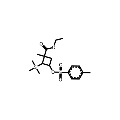 CCOC(=O)C1(C)CC(OS(=O)(=O)c2ccc(C)cc2)C1[Si](C)(C)C